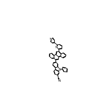 N#Cc1ccc2c3ccc(-c4cc5c6ccccc6c(-c6cccc(-c7ccncc7)n6)cc5c5ccccc45)cc3n(-c3ccccc3)c2c1